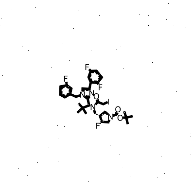 CC(C)(C)OC(=O)N1C[C@@H](CN(C(=O)CI)[C@@H](c2nc(-c3cc(F)ccc3F)cn2Cc2cccc(F)c2)C(C)(C)C)[C@@H](F)C1